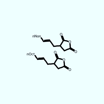 CCCCCCCCC=CCC1CC(=O)OC1=O.CCCCCCCCCC=CCC1CC(=O)OC1=O